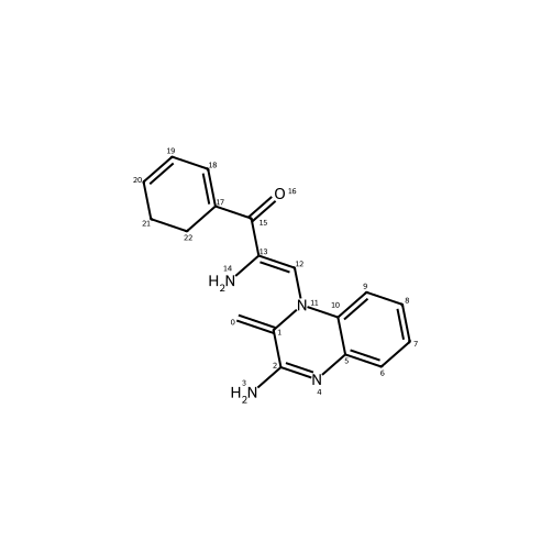 C=C1C(N)=Nc2ccccc2N1/C=C(\N)C(=O)C1=CC=CCC1